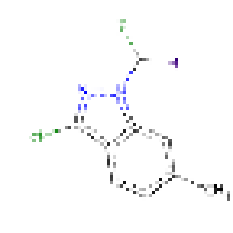 Cc1ccc2c(Cl)nn(C(F)I)c2c1